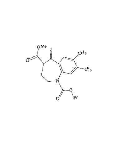 COC(=O)C1CCN(C(=O)OC(C)C)c2cc(C(F)(F)F)c(C)cc2C1=O